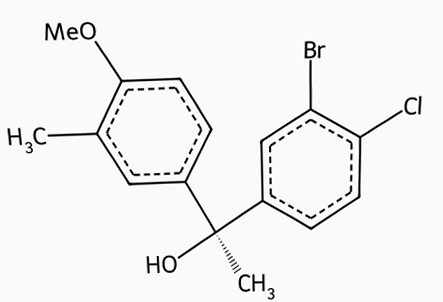 COc1ccc([C@](C)(O)c2ccc(Cl)c(Br)c2)cc1C